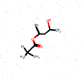 CCC(C)(C)C(=O)OC(CC(O)C(F)(F)F)C(C)C